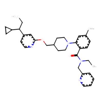 COc1ccc(C(=O)N(Cc2ccccn2)CC(C)(C)C)c(N2CCC(COc3cc(C(CC(=O)O)C4CC4)ccn3)CC2)c1